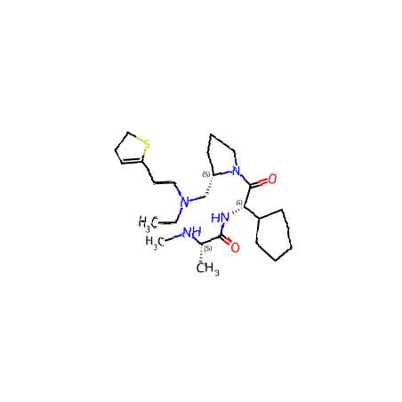 CCN(CCC1=CCCS1)C[C@@H]1CCCN1C(=O)[C@@H](NC(=O)[C@H](C)NC)C1CCCCC1